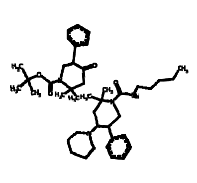 CC(C)(C)OC(=O)N1CC(c2ccccc2)C(=O)CC1(C)C.CCCCCNC(=O)N1CC(c2ccccc2)C(N2CCCCC2)CC1(C)C